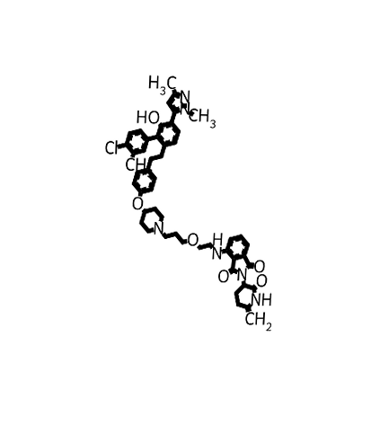 C=C1CCC(N2C(=O)c3cccc(NCCOCCCN4CCC(Oc5ccc(CCc6ccc(-c7cc(C)nn7C)c(O)c6-c6ccc(Cl)c(C)c6)cc5)CC4)c3C2=O)C(=O)N1